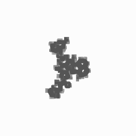 C#Cc1c(F)ccc2cccc(-c3ncc4c(N(C)[C@@H]5CCN(C(=O)/C(F)=C/c6nccs6)C5)nc(OC[C@@]56CCCN5C[C@H](F)C6)nc4c3F)c12